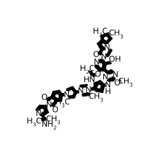 C=CC(=O)Nc1cc(Nc2nc(-c3ccnc(N4CCn5c(cc6c5CC(C)(C)C6)C4=O)c3CO)cnc2OC)ccc1N1CCN(C2CCN(c3ccc4c(c3)C(=O)N(c3ccnc(C(C)(C)N)c3)C4=O)[C@@H](C)C2)C[C@@H]1C